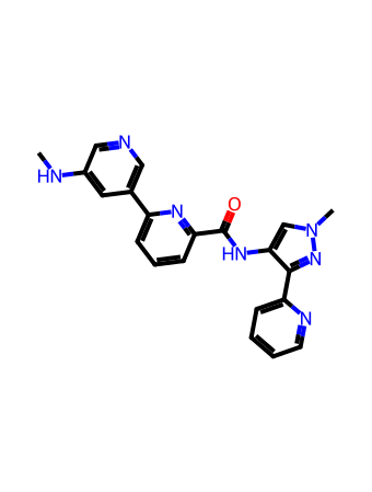 CNc1cncc(-c2cccc(C(=O)Nc3cn(C)nc3-c3ccccn3)n2)c1